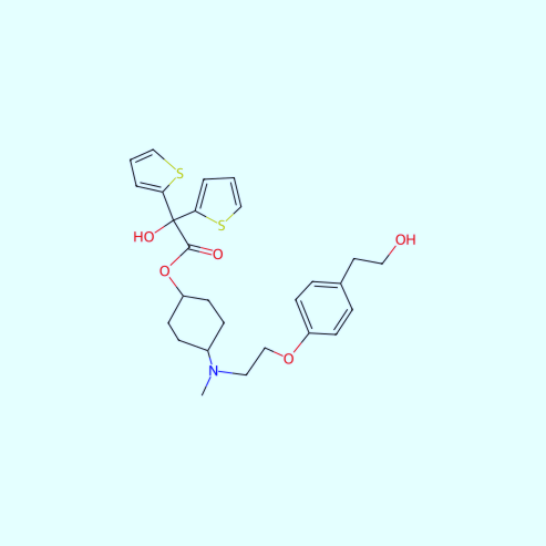 CN(CCOc1ccc(CCO)cc1)C1CCC(OC(=O)C(O)(c2cccs2)c2cccs2)CC1